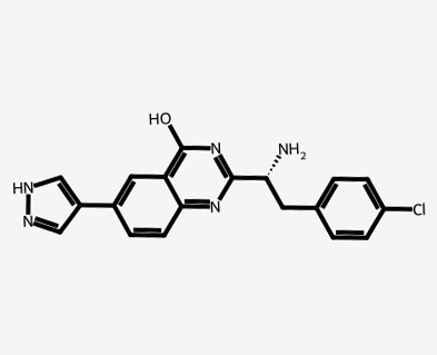 N[C@H](Cc1ccc(Cl)cc1)c1nc(O)c2cc(-c3cn[nH]c3)ccc2n1